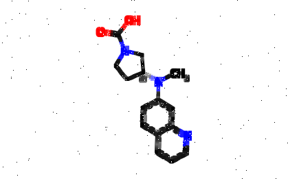 CN(c1ccc2cccnc2c1)[C@@H]1CCN(C(=O)O)C1